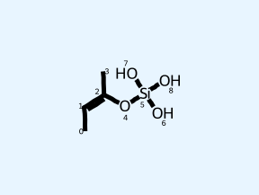 CC=C(C)O[Si](O)(O)O